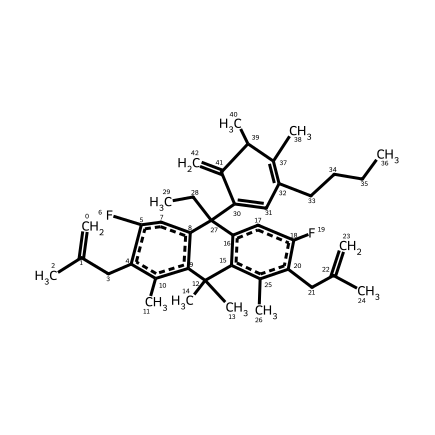 C=C(C)Cc1c(F)cc2c(c1C)C(C)(C)c1c(cc(F)c(CC(=C)C)c1C)C2(CC)C1=CC(CCCC)=C(C)C(C)C1=C